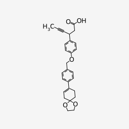 CC#CC(CC(=O)O)c1ccc(OCc2ccc(C3=CCC4(CC3)OCCO4)cc2)cc1